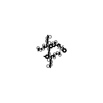 CC(=O)OCOC(=O)CN(CC(=O)OCOC(C)=O)c1ccc(C)cc1OCCOc1cc2cc(-c3ccc(-c4nc5ccccc5s4)s3)c(=O)oc2cc1N(CC(=O)OCOC(C)=O)CC(=O)OCOC(C)=O